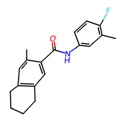 Cc1cc(NC(=O)c2cc3c(cc2C)CCCC3)ccc1F